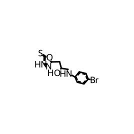 OC(CNc1ccc(Br)cc1)Cc1n[nH]c(=S)o1